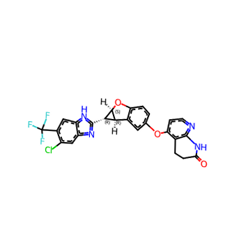 O=C1CCc2c(Oc3ccc4c(c3)[C@@H]3[C@H](O4)[C@H]3c3nc4cc(Cl)c(C(F)(F)F)cc4[nH]3)ccnc2N1